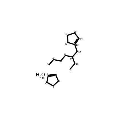 C1=CCCC1.CCCCC(CC)CC1=CCCC1.O